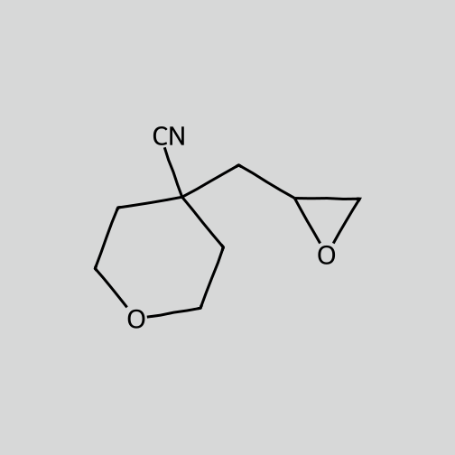 N#CC1(CC2CO2)CCOCC1